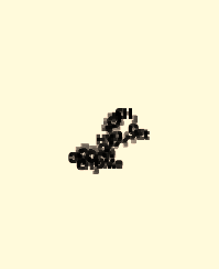 CCC(=O)CCCCC[C@H](NC(=O)[C@H]1CC12CCN(C)CC2)c1ncc(-c2cc3ccc(=O)n(C)c3cc2OC)o1